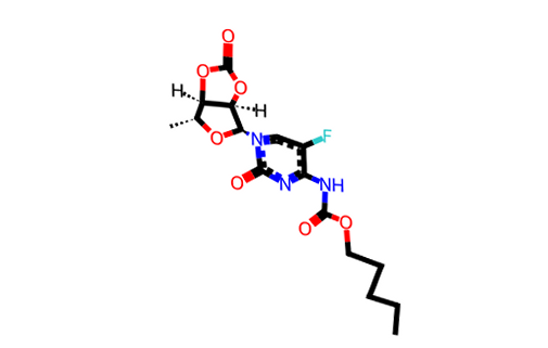 CCCCCOC(=O)Nc1nc(=O)n([C@@H]2O[C@H](C)[C@H]3OC(=O)O[C@H]32)cc1F